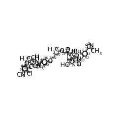 Cc1ncsc1-c1ccc(CNC(=O)[C@@H]2C[C@@H](O)CN2C(=O)C(NC(=O)COC(C)CCCCOc2ccc(C(=O)N[C@H]3C(C)(C)[C@H](Oc4ccc(C#N)c(Cl)c4)C3(C)C)cc2)C(C)(C)C)cc1